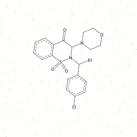 CCC(c1ccc(Cl)cc1)N1C(N2CCOCC2)C(=O)c2ccccc2S1(=O)=O